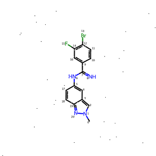 Cn1cc2cc(NC(=N)c3ccc(Br)c(F)c3)ccc2n1